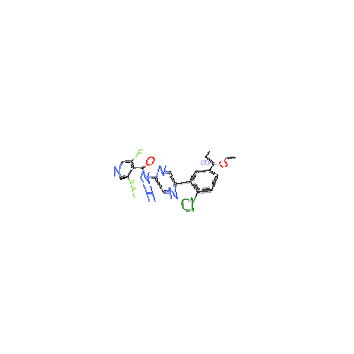 C=CO/C(=C\C)c1ccc(Cl)c(-c2cnc(NC(=O)c3c(F)cncc3F)cn2)c1